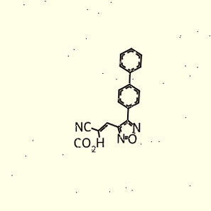 N#CC(=Cc1nonc1-c1ccc(-c2ccccc2)cc1)C(=O)O